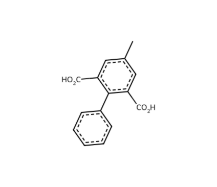 Cc1cc(C(=O)O)c(-c2ccccc2)c(C(=O)O)c1